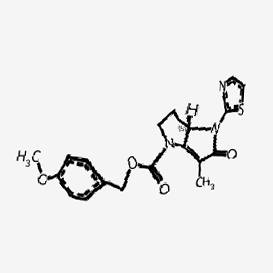 COc1ccc(COC(=O)N2CC[C@H]3C2=C(C)C(=O)N3c2nccs2)cc1